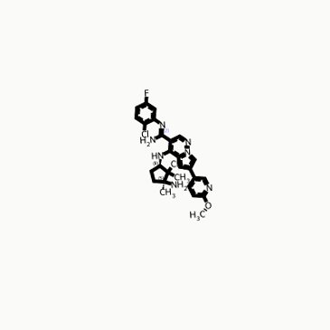 COc1ccc(-c2cc3c(N[C@@H]4CC[C@](C)(N)C4(C)C)c(/C(N)=N/c4cc(F)ccc4Cl)cnn3c2)cn1